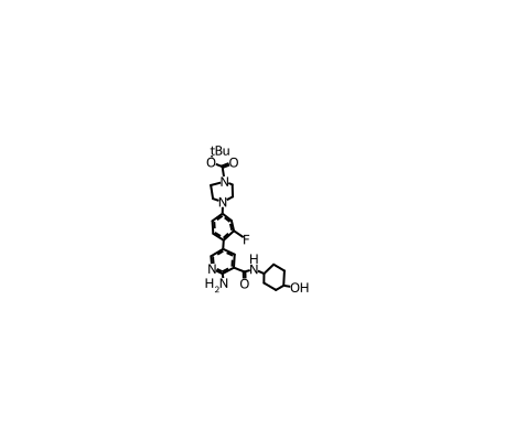 CC(C)(C)OC(=O)N1CCN(c2ccc(-c3cnc(N)c(C(=O)NC4CCC(O)CC4)c3)c(F)c2)CC1